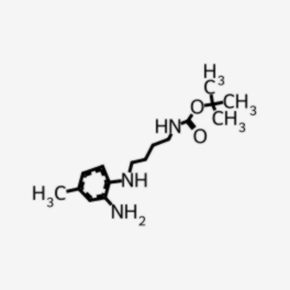 Cc1ccc(NCCCCNC(=O)OC(C)(C)C)c(N)c1